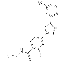 O=C(O)CNC(=O)c1ncc(-c2cc(-c3cccc(C(F)(F)F)c3)no2)cc1O